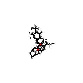 CNC(=O)c1ccc(N2C3CCC2CN(Cc2cnc4c(C)c(C(F)(F)F)c(=O)[nH]c4c2)C3)cn1